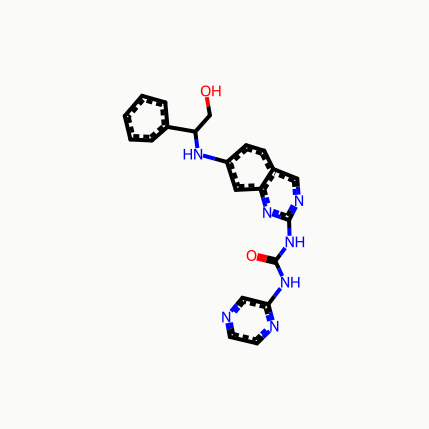 O=C(Nc1cnccn1)Nc1ncc2ccc(NC(CO)c3ccccc3)cc2n1